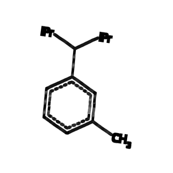 Cc1cccc(C(C(C)C)C(C)C)c1